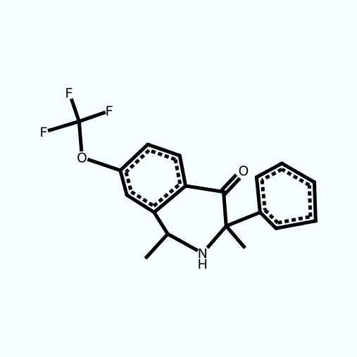 CC1NC(C)(c2ccccc2)C(=O)c2ccc(OC(F)(F)F)cc21